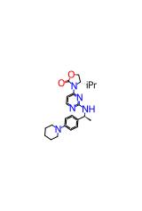 CC(C)[C@H]1COC(=O)N1c1ccnc(N[C@@H](C)c2ccc(N3CCCCC3)cc2)n1